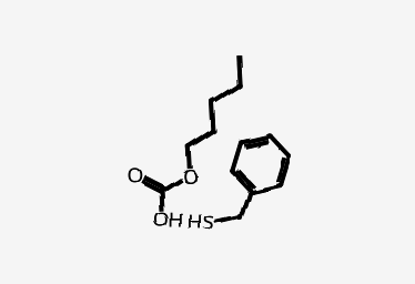 CCCCCOC(=O)O.SCc1ccccc1